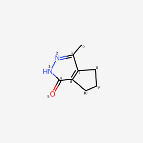 Cc1n[nH]c(=O)c2c1CCC2